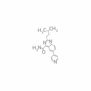 CC(C)CCc1nc(C(N)=O)c2cc(-c3ccncc3)ccc2n1